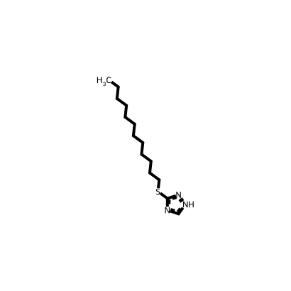 CCCCCCCCCCCCSc1nc[nH]n1